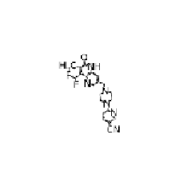 Cc1c(C(F)F)c2ncc(CN3CCN(c4ccc(C#N)cn4)CC3)cc2[nH]c1=O